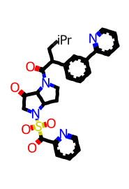 CC(C)CC(C(=O)N1CCC2C1C(=O)CN2S(=O)(=O)C(=O)c1ccccn1)c1cccc(-c2ccccn2)c1